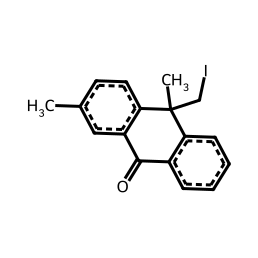 Cc1ccc2c(c1)C(=O)c1ccccc1C2(C)CI